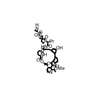 CCn1c(-c2cccnc2[C@H](C)OC)c2c3cc(ccc31)-c1cc(O)cc(c1)C[C@H](NC(=O)[C@H](C(C)C)N1CCC3(CN(S(=O)(=O)[C@H]4CN4)C3)C1=O)C(=O)N1CCC[C@H](N1)C(=O)OCC(C)(C)C2